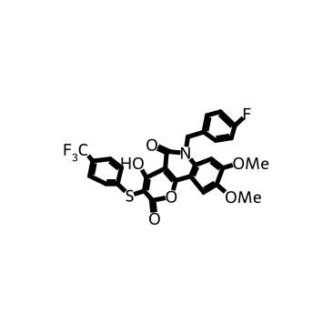 COc1cc2c3oc(=O)c(Sc4ccc(C(F)(F)F)cc4)c(O)c3c(=O)n(Cc3ccc(F)cc3)c2cc1OC